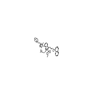 CCOC(=O)c1c(CCCOc2cccc3ccccc23)c2cccc3c2n1CCCN(C)Cc1nn(CCN2CCOCC2)c(C)c1-3